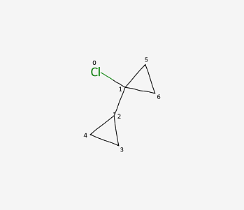 ClC1([C]2CC2)CC1